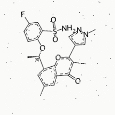 Cc1cc([C@@H](C)Oc2ccc(F)cc2S(N)(=O)=O)c2oc(-c3cnn(C)c3)c(C)c(=O)c2c1